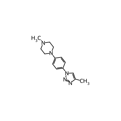 Cc1cn(-c2ccc(N3CCN(C)CC3)cc2)nn1